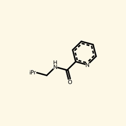 CC(C)CNC(=O)c1ccccn1